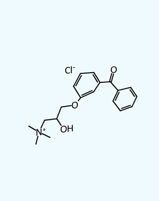 C[N+](C)(C)CC(O)COc1cccc(C(=O)c2ccccc2)c1.[Cl-]